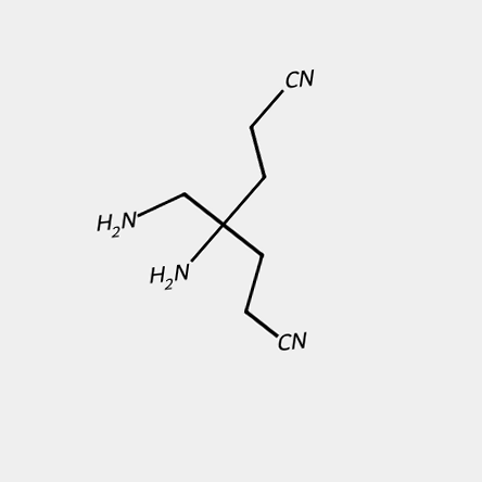 N#CCCC(N)(CN)CCC#N